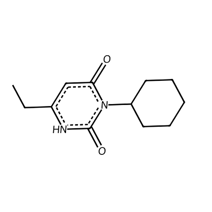 CCc1cc(=O)n(C2CCCCC2)c(=O)[nH]1